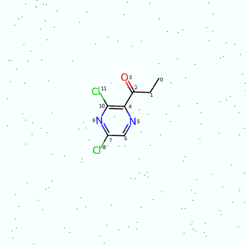 CCC(=O)c1ncc(Cl)nc1Cl